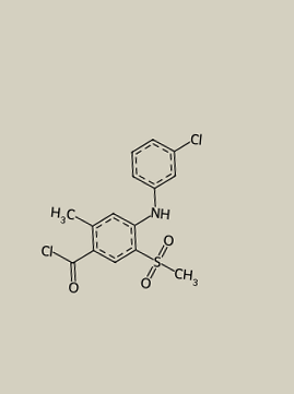 Cc1cc(Nc2cccc(Cl)c2)c(S(C)(=O)=O)cc1C(=O)Cl